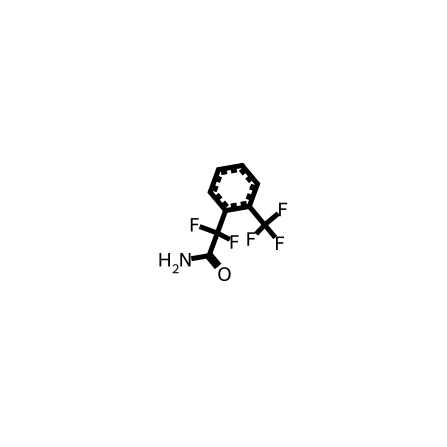 NC(=O)C(F)(F)c1ccccc1C(F)(F)F